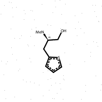 CN[C@@H](CO)Cc1cccs1